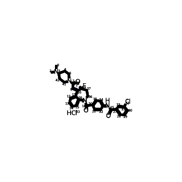 CN(C)C1CCN(C(=O)/C=C2/c3ccccc3N(C(=O)c3ccc(NC(=O)c4cccc(Cl)c4)cc3)CCC2(F)F)CC1.Cl